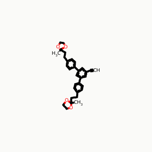 C#Cc1cc(-c2ccc(CCC3(C)OCCO3)cc2)cc(-c2ccc(CCC3(C)OCCO3)cc2)c1